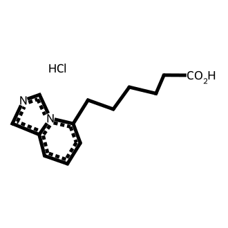 Cl.O=C(O)CCCCCc1cccc2cncn12